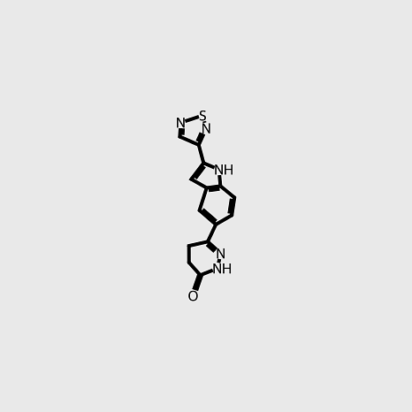 O=C1CCC(c2ccc3[nH]c(-c4cnsn4)cc3c2)=NN1